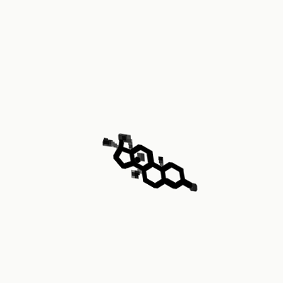 CC(=O)[C@@]1(O)CC[C@H]2[C@@H]3CCC4=CC(=O)CC[C@]4(C)C3=CC[C@@]21C